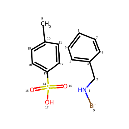 BrNCc1ccccc1.Cc1ccc(S(=O)(=O)O)cc1